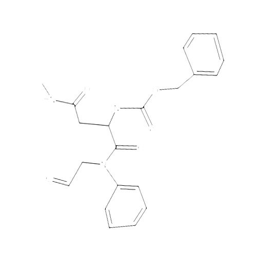 CNC(=O)CC(NC(=O)OCc1ccccc1)C(=O)N(C[C]=O)c1ccccc1